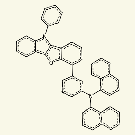 c1ccc(-n2c3ccccc3c3oc4c(-c5cccc(N(c6cccc7ccccc67)c6cccc7ccccc67)c5)cccc4c32)cc1